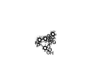 O=C(O)c1ccccc1OCCNC(=O)[C@@H]1Cc2ccccc2N1S(=O)(=O)c1ccc(-c2cccc(C(F)(F)F)c2)cc1